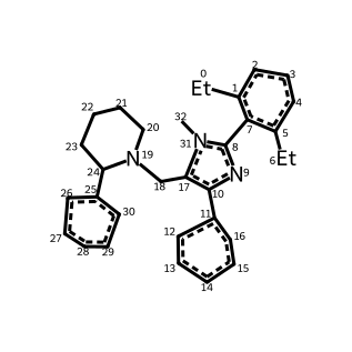 CCc1cccc(CC)c1-c1nc(-c2ccccc2)c(CN2CCCCC2c2ccccc2)n1C